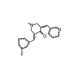 CN1CC(=Cc2cccnc2)C(=O)/C(=C/c2cccc(F)c2)C1